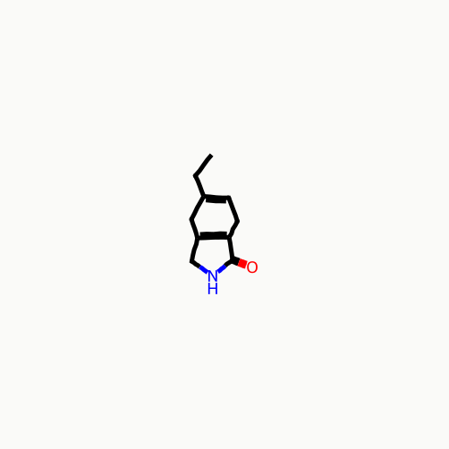 CCC1=CCC2=C(CNC2=O)C1